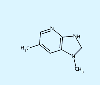 Cc1cnc2c(c1)N(C)CN2